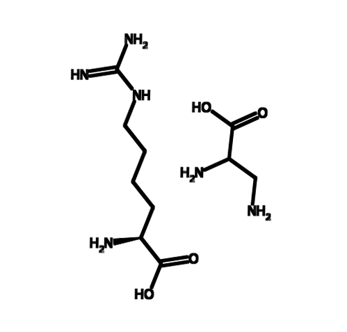 N=C(N)NCCCC[C@H](N)C(=O)O.NCC(N)C(=O)O